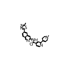 Cc1nnc(-c2ccc3cnc(NC(=O)c4ccnc(C5=CCN(C)CC5)c4)cc3c2)s1